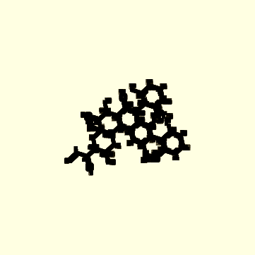 C=CC(=O)N1C[C@@H]2C(=O)N(C)c3c(c4cc(F)c(-c5c(O)cccc5F)c(F)c4n(-c4c(C)ccnc4C(C)C)c3=O)N2C[C@H]1C